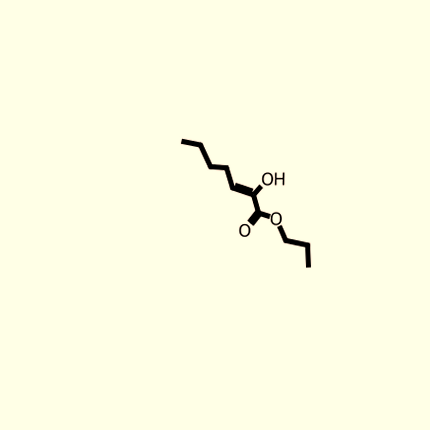 CCCCC=C(O)C(=O)OCCC